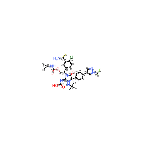 CC(C)(C)C[C@]1(c2ccc(-c3cnn(C(F)F)c3)cc2)NC(=NC(=O)O)N(C(COC(=O)NC2CC2)c2ccc(Cl)c(C(N)=S)c2)C1=O